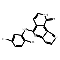 Cc1ccc(C#N)cc1Nc1nc2ccncc2c2c(=O)[nH]ccc12